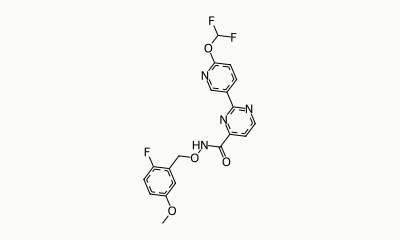 COc1ccc(F)c(CONC(=O)c2ccnc(-c3ccc(OC(F)F)nc3)n2)c1